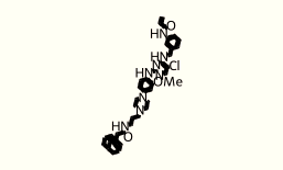 C=CC(=O)Nc1cccc(CNc2nc(Nc3ccc(N4CCN(CCCNC(=O)CC56CC7CC(CC(C7)C5)C6)CC4)cc3OC)ncc2Cl)c1